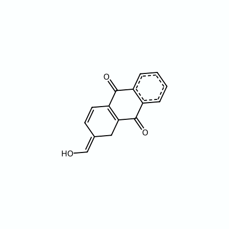 O=C1C2=C(CC(=CO)C=C2)C(=O)c2ccccc21